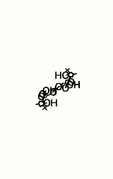 Cc1cc(C(=O)CC(CCOCCOCCC(CC(=O)c2cc(C)cc(C(C)(C)C)c2O)C(=O)O)C(=O)O)c(O)c(C(C)(C)C)c1